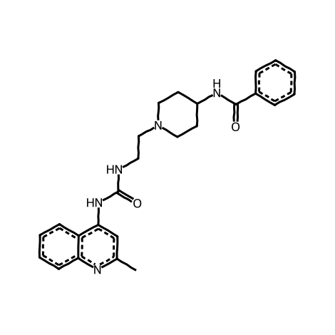 Cc1cc(NC(=O)NCCN2CCC(NC(=O)c3ccccc3)CC2)c2ccccc2n1